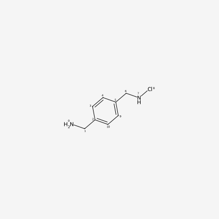 NCc1ccc(CNCl)cc1